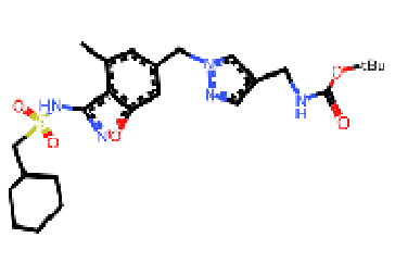 Cc1cc(Cn2cc(CNC(=O)OC(C)(C)C)cn2)cc2onc(NS(=O)(=O)CC3CCCCC3)c12